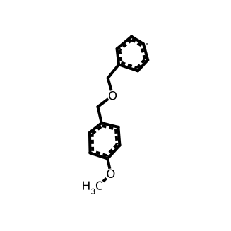 COc1ccc(COCc2cc[c]cc2)cc1